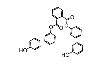 O=C(Oc1ccccc1)c1ccccc1C(=O)Oc1ccccc1.Oc1ccccc1.Oc1ccccc1